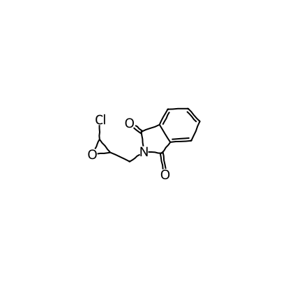 O=C1c2ccccc2C(=O)N1CC1OC1Cl